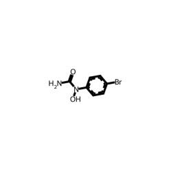 NC(=O)N(O)c1ccc(Br)cc1